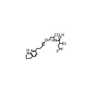 CCC(CC(F)F)C(=O)NC(CCOC1CC(CCc2ccc3c(n2)NCCC3)C1)C(=O)O